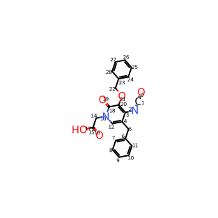 O=C=Nc1c(Cc2ccccc2)cn(CC(=O)O)c(=O)c1OCc1ccccc1